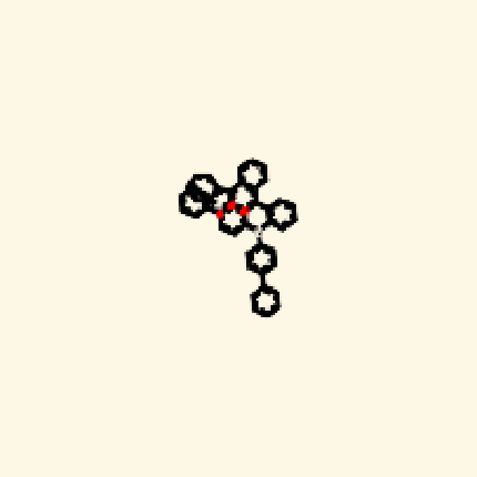 c1ccc(-c2ccc(N(c3ccc(-c4ccccc4)cc3)c3ccccc3-c3cc4oc5ccccc5c4c4ccccc34)cc2)cc1